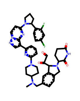 CN(Cc1ccc2c(c1)C(C(=O)C=O)N(C1CCC(=O)NC1=O)C2)C1CCN(c2cccc(-c3cnn4ccc(N5CCCC5c5ccc(F)cc5F)nc34)n2)CC1